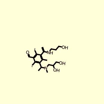 C=C(NCCCO)c1c(C)c(C(C)N(C)CC(O)CO)c(I)c(C=O)c1I